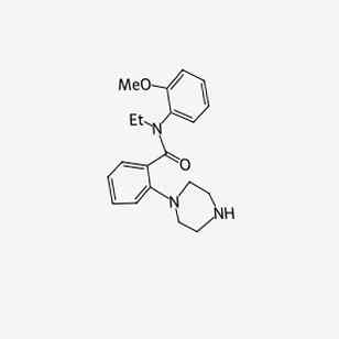 CCN(C(=O)c1ccccc1N1CCNCC1)c1ccccc1OC